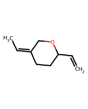 C=CC1CCC(=CC)CO1